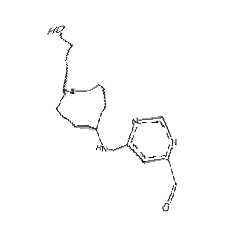 O=Cc1cc(NC2CCN(CCO)CC2)ncn1